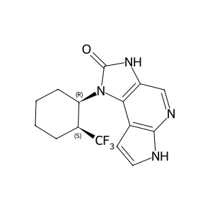 O=c1[nH]c2cnc3[nH]ccc3c2n1[C@@H]1CCCC[C@@H]1C(F)(F)F